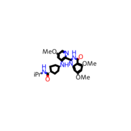 COc1cnc(-c2nc3cc(OC)cc(OC)c3c(=O)[nH]2)c(N[C@H]2CC[C@@H](C(=O)NC(C)C)CC2)c1